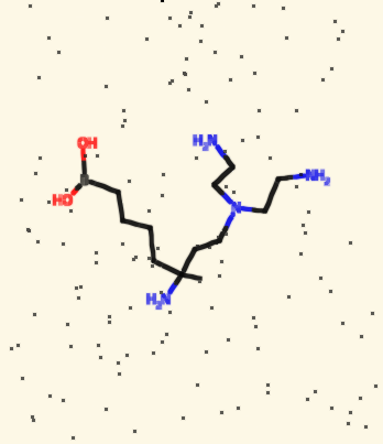 CC(N)(CCCCB(O)O)CCN(CCN)CCN